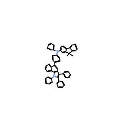 CC1(C)c2ccccc2-c2ccc(N(c3ccccc3)c3ccc(-c4cc5c(-c6ccccc6)c(-c6ccccc6)n(-c6ccccc6)c5c5ccccc45)cc3)cc21